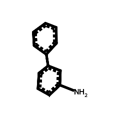 Nc1[c]ccc(-c2ccccc2)c1